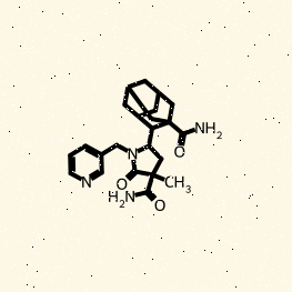 CC1(C(N)=O)CC(C2C3CC4CC(C3)CC2(C(N)=O)C4)N(Cc2cccnc2)C1=O